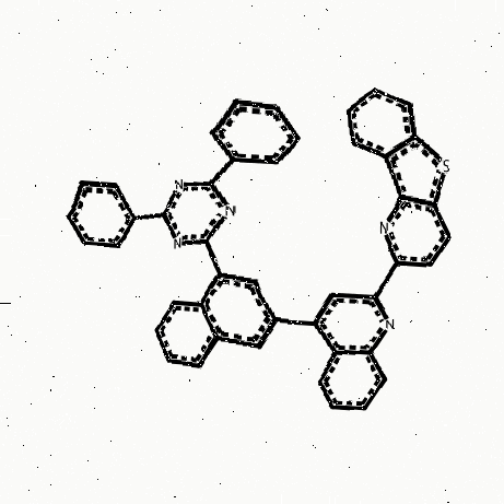 c1ccc(-c2nc(-c3ccccc3)nc(-c3cc(-c4cc(-c5ccc6sc7ccccc7c6n5)nc5ccccc45)cc4ccccc34)n2)cc1